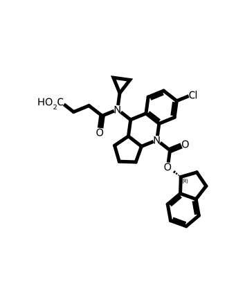 O=C(O)CCC(=O)N(C1CC1)C1c2ccc(Cl)cc2N(C(=O)O[C@@H]2CCc3ccccc32)C2CCCC21